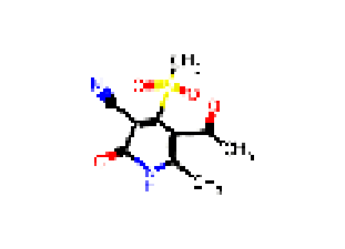 CC(=O)c1c(C)[nH]c(=O)c(C#N)c1S(C)(=O)=O